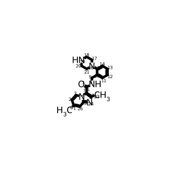 Cc1ccn2c(C(=O)NCc3ccccc3N3CCNCC3)c(C)nc2c1